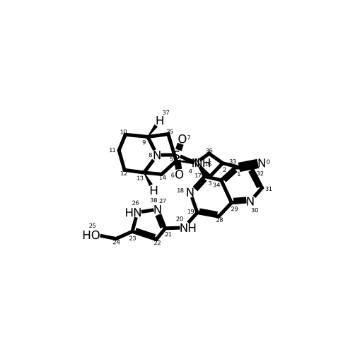 N#CC1CN(S(=O)(=O)N2[C@@H]3CCC[C@H]2C[C@H](Nc2nc(Nc4cc(CO)[nH]n4)cc4ncccc24)C3)C1